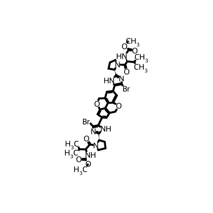 COC(=O)NC(C(=O)N1CCC[C@H]1c1nc(Br)c(-c2cc3c4c(c2)OCc2cc(-c5[nH]c([C@@H]6CCCN6C(=O)[C@@H](NC(=O)OC)C(C)C)nc5Br)cc(c2-4)OC3)[nH]1)C(C)C